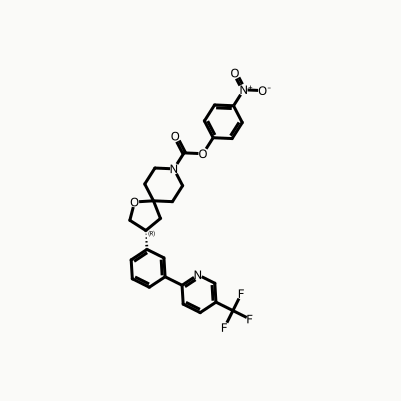 O=C(Oc1ccc([N+](=O)[O-])cc1)N1CCC2(CC1)C[C@H](c1cccc(-c3ccc(C(F)(F)F)cn3)c1)CO2